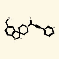 NCc1ccc2c(c1)C1(CCN(C(=O)C#Cc3ccccc3)CC1)CO2